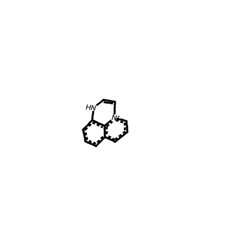 C1=C[n+]2cccc3cccc(c32)N1